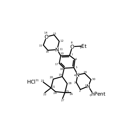 CCCCCN1CCN(c2cc(OCC)c(N3CCOCC3)cc2C2CC(C)(C)CC(C)(C)C2)CC1.Cl